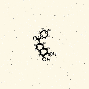 CN1CCN(C(=O)c2ccc3cc(O)c(O)cc3c2)CC1